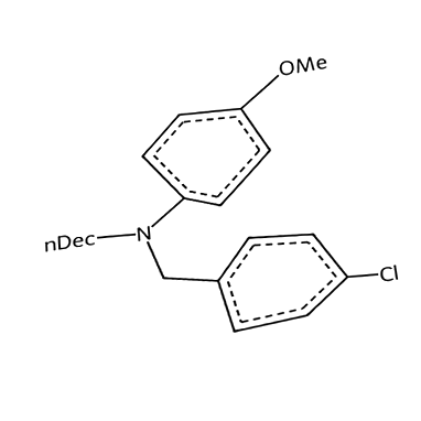 CCCCCCCCCCN(Cc1ccc(Cl)cc1)c1ccc(OC)cc1